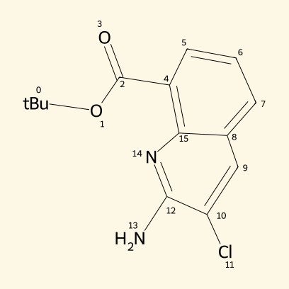 CC(C)(C)OC(=O)c1cccc2cc(Cl)c(N)nc12